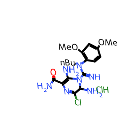 CCCCN(C(=N)N1C(N)=C(C(N)=O)N=C(Cl)C1N)c1ccc(OC)cc1OC.Cl